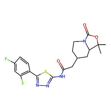 CC1(C)OC(=O)N2CCC(CC(=O)Nc3nnc(-c4ccc(F)cc4F)s3)CC21